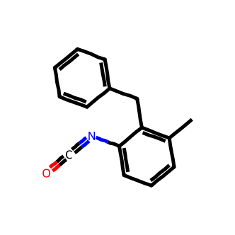 Cc1cccc(N=C=O)c1Cc1ccccc1